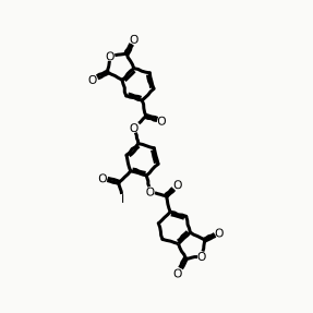 O=C(Oc1ccc(OC(=O)c2ccc3c(c2)C(=O)OC3=O)cc1C(=O)I)C1=CC2=C(CC1)C(=O)OC2=O